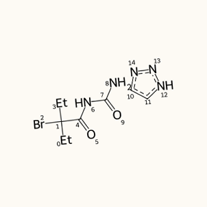 CCC(Br)(CC)C(=O)NC(N)=O.c1c[nH]nn1